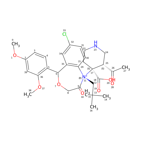 COc1ccc(C2OCC(=O)[N@@+](CC(C)(C)C)([C@@]3(C(=O)O)CCNC[C@@H]3C(C)=O)c3ccc(Cl)cc32)c(OC)c1